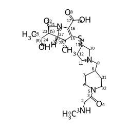 CNCC(=O)N1CCC(CN2CC[C@@H](SC3=C(C(=O)O)N4C(=O)[C@H]([C@@H](C)O)[C@H]4[C@H]3C)C2)CC1